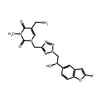 Cn1c(=O)c(CN)cn(Cc2nnn(C[C@H](O)c3ccc4oc(F)cc4c3)n2)c1=O